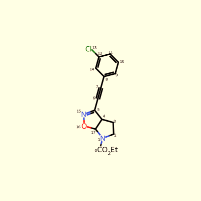 CCOC(=O)N1CCC2C(C#Cc3cccc(Cl)c3)=NOC21